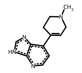 CN1CC=C(c2ccnc3[nH]cnc23)CC1